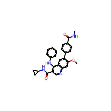 CNC(=O)c1ccc(-c2cc3c(Nc4ccccc4)c(C(=O)NC4CC4)cnc3cc2OC)cc1